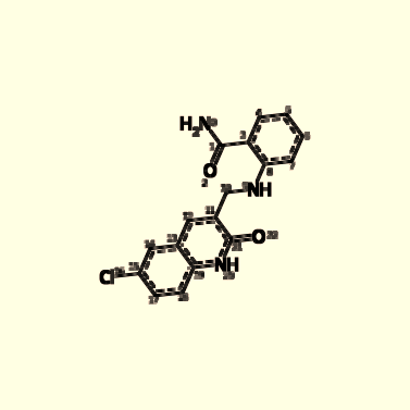 NC(=O)c1ccccc1NCc1cc2cc(Cl)ccc2[nH]c1=O